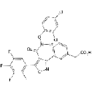 CCN(Oc1ccc(Cl)cc1Cl)C(=O)c1c(-c2cccc(CC(=O)O)c2)noc1-c1cc(F)c(F)c(F)c1C